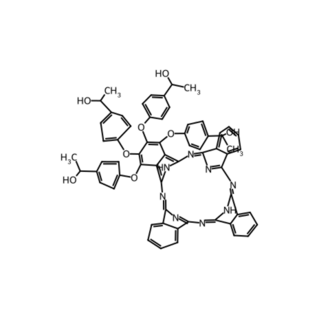 CC(O)c1ccc(Oc2c(Oc3ccc(C(C)O)cc3)c(Oc3ccc(C(C)O)cc3)c3c4nc5nc(nc6[nH]c(nc7nc(nc([nH]4)c3c2Oc2ccc(C(C)O)cc2)-c2ccccc2-7)c2ccccc62)-c2ccccc2-5)cc1